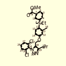 CCS(C)(c1cccc(C(=O)OC)c1)c1ccc(OCc2c(C(C)C)nnn2-c2c(Cl)cccc2Cl)cc1C